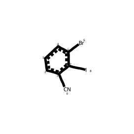 N#Cc1cccc(Br)c1I